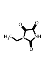 CCN1C(=O)NC(=O)C1=O